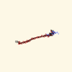 CCCCc1nc2c(N)nnc(OC(C)C)c2n1Cc1ccc(CNC(=O)CCOCCOCCOCCOCCOCCOCCOCCOCCOCCOCCOCCOCCC(=O)OC(C)(C)C)cc1